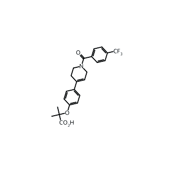 CC(C)(Oc1ccc(C2=CCN(C(=O)c3ccc(C(F)(F)F)cc3)CC2)cc1)C(=O)O